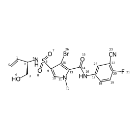 C=C[C@H](CO)NS(=O)(=O)c1cn(C)c(C(=O)Nc2ccc(F)c(C#N)c2)c1Br